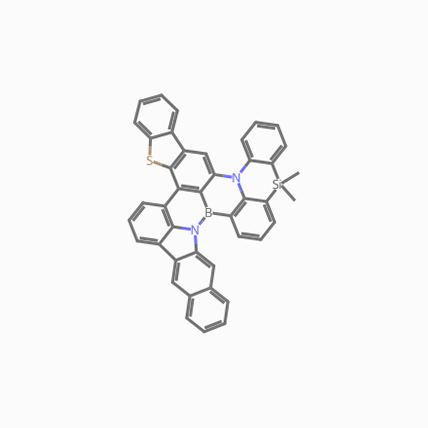 C[Si]1(C)c2ccccc2N2c3cc4c(sc5ccccc54)c4c3B(c3cccc1c32)n1c2cc3ccccc3cc2c2cccc-4c21